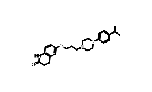 CC(C)c1ccc(N2CCN(CCCOc3ccc4c(c3)CCC(=O)N4)CC2)cc1